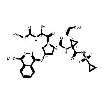 CCCC/C=C\[C@@H]1C[C@]1(NC(=O)[C@@H]1C[C@@H](Oc2nnc(OC)c3ccccc23)CN1C(=O)[C@@H](NC(=O)OC(C)(C)C)C(C)C)C(=O)NS(=O)(=O)C1CC1